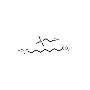 C[N+](C)(C)CCO.O=C(O)CCCCCCCC(=O)O